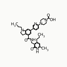 CCCc1cc(C)[nH]c(=O)c1CNC(=O)c1cc(-c2ccc(N3CCN(C(=O)O)CC3)nc2)cc2c1CCN2CCC